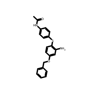 CC(=O)Nc1ccc(Sc2ccc(OCc3ccccc3)cc2N)cc1